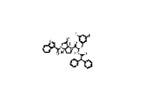 O=C(N[C@@H](Cc1cc(F)cc(F)c1)C(=O)N1CC[C@@H]2[C@H]1C(=O)CN2C(=O)c1csc2ccccc12)C(c1ccccc1)c1ccccc1